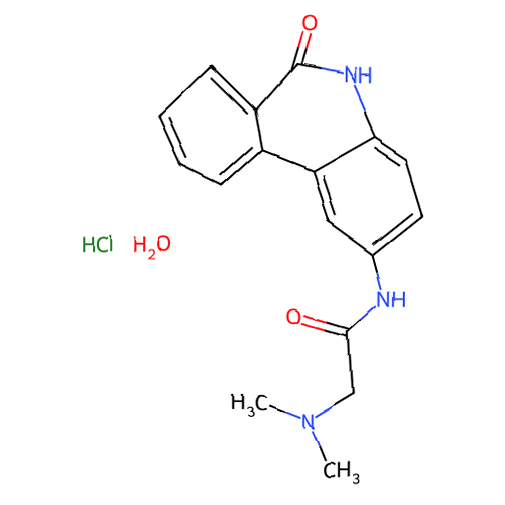 CN(C)CC(=O)Nc1ccc2[nH]c(=O)c3ccccc3c2c1.Cl.O